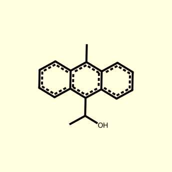 Cc1c2ccccc2c(C(C)O)c2ccccc12